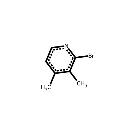 Cc1ccnc(Br)c1C